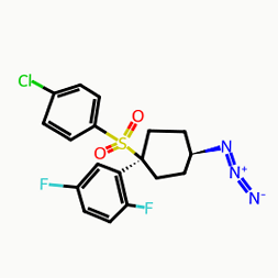 [N-]=[N+]=N[C@H]1CC[C@@](c2cc(F)ccc2F)(S(=O)(=O)c2ccc(Cl)cc2)CC1